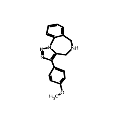 COc1ccc(-c2nnn3c2CNCc2ccccc2-3)cc1